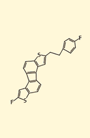 Fc1ccc(CCc2cc3c4c(ccc3s2)-c2c-4ccc3sc(F)cc23)cc1